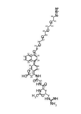 CC(=O)NC(CCCNC(=N)N)C(=O)NCC(=O)NC(CC(=O)O)c1ccc(-c2ccc(OCCOCCOCCOCCOCCN=[N+]=[N-])c3ccccc23)cc1